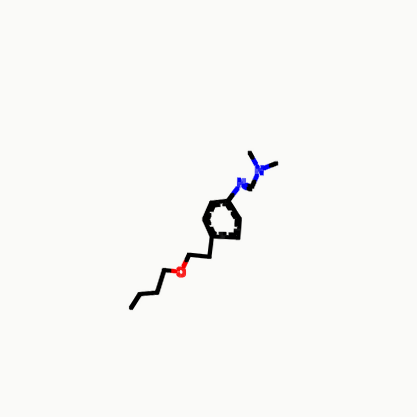 CCCCOCCc1ccc(N=CN(C)C)cc1